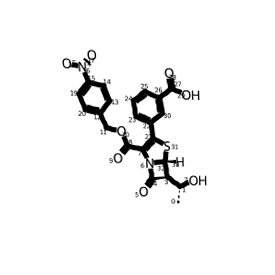 C[C@@H](O)[C@H]1C(=O)N2C(C(=O)OCc3ccc([N+](=O)[O-])cc3)=C(c3cccc(C(=O)O)c3)S[C@H]12